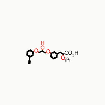 C#Cc1cccc(OCC(O)COc2cccc(CC(OC(C)C)C(=O)O)c2)c1